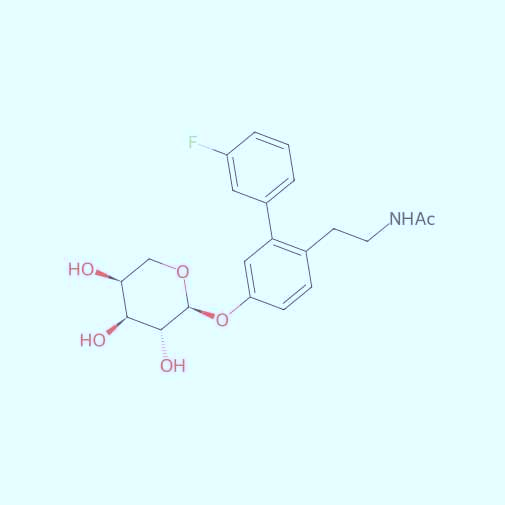 CC(=O)NCCc1ccc(O[C@@H]2OC[C@H](O)[C@H](O)[C@H]2O)cc1-c1cccc(F)c1